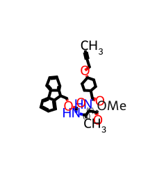 CC#CCOC1CCC(C(=O)N[C@H](C(=O)OC)[C@@H](C)NC(=O)OCC2c3ccccc3-c3ccccc32)CC1